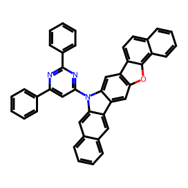 c1ccc(-c2cc(-n3c4cc5ccccc5cc4c4cc5oc6c7ccccc7ccc6c5cc43)nc(-c3ccccc3)n2)cc1